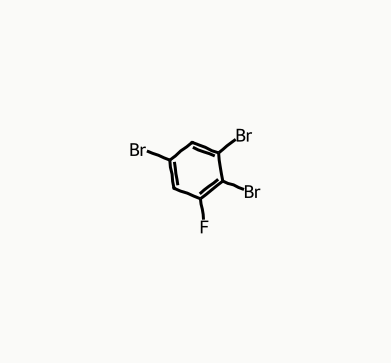 Fc1cc(Br)cc(Br)c1Br